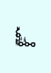 CN1C=Nc2ccc(-c3ccc(-c4ccccc4)cc3F)cc2C1Nc1ccc(CC#N)cc1